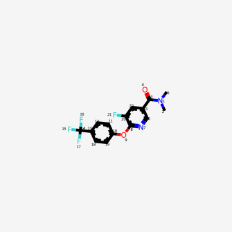 CN(C)C(=O)c1cnc(Oc2ccc(C(F)(F)F)cc2)c(F)c1